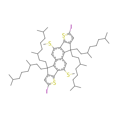 CSc1cc2c3c(c(SC)cc2c2c1-c1sc(I)cc1C2(CCC(C)CCCC(C)C)CCC(C)CCCC(C)C)-c1sc(I)cc1C3(CCC(C)CCCC(C)C)CCC(C)CCCC(C)C